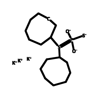 [K+].[K+].[K+].[O-]P([O-])([S-])=S(C1CCCCCCC1)C1CCCCCCC1